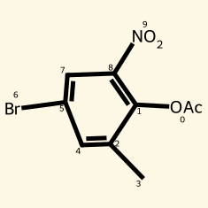 CC(=O)Oc1c(C)cc(Br)cc1[N+](=O)[O-]